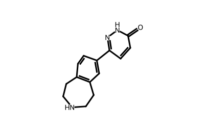 O=c1ccc(-c2ccc3c(c2)CCNCC3)n[nH]1